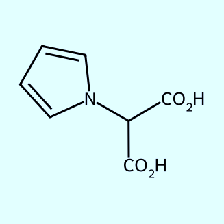 O=C(O)C(C(=O)O)n1cccc1